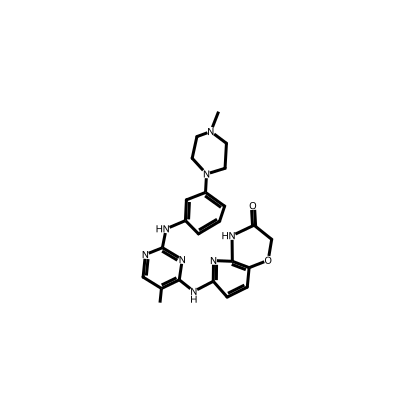 Cc1cnc(Nc2cccc(N3CCN(C)CC3)c2)nc1Nc1ccc2c(n1)NC(=O)CO2